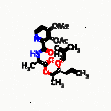 C=CC[C@@H](OCC(=C)C)[C@H](C)OC(=O)[C@H](C)NC(=O)c1nccc(OC)c1OC(C)=O